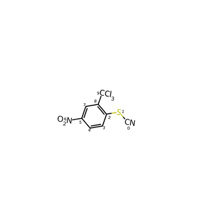 N#CSc1ccc([N+](=O)[O-])cc1C(Cl)(Cl)Cl